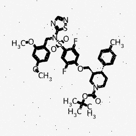 COc1ccc(CN(c2ncns2)S(=O)(=O)c2cc(F)c(OC[C@@H]3CN(C(=O)OC(C)(C)C)CC[C@H]3c3ccc(C)cc3)cc2F)c(OC)c1